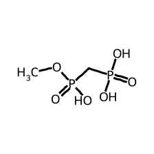 COP(=O)(O)CP(=O)(O)O